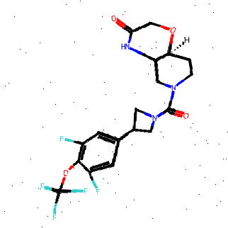 O=C1CO[C@H]2CCN(C(=O)N3CC(c4cc(F)c(OC(F)(F)F)c(F)c4)C3)CC2N1